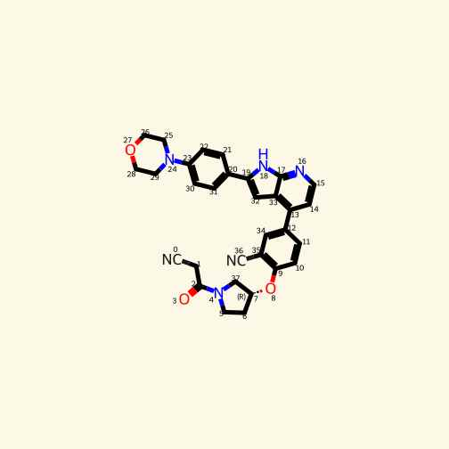 N#CCC(=O)N1CC[C@@H](Oc2ccc(-c3ccnc4[nH]c(-c5ccc(N6CCOCC6)cc5)cc34)cc2C#N)C1